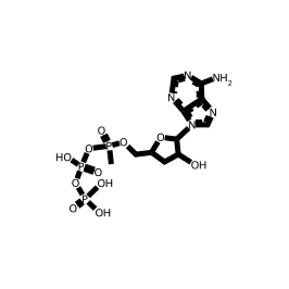 CP(=O)(OCC1CC(O)C(n2cnc3c(N)ncnc32)O1)OP(=O)(O)OP(=O)(O)O